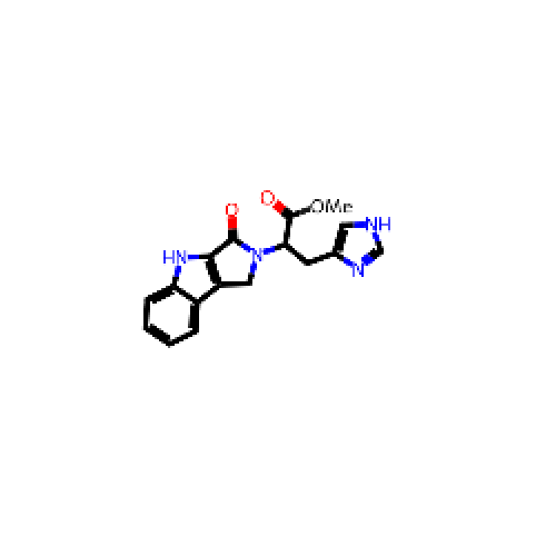 COC(=O)C(Cc1c[nH]cn1)N1Cc2c([nH]c3ccccc23)C1=O